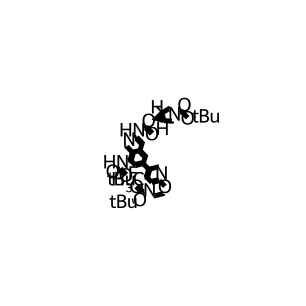 Cc1c(-c2cc3cc(NC(=O)O[C@@H]4[C@@H]5CN(C(=O)OC(C)(C)C)C[C@@H]54)ncc3c(NC(=O)OC(C)(C)C)c2F)cnc2c1N(C(=O)OC(C)(C)C)CCO2